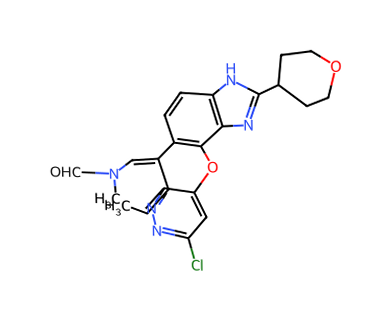 C/C=C\C(=C/N(C)C=O)c1ccc2[nH]c(C3CCOCC3)nc2c1Oc1cnnc(Cl)c1